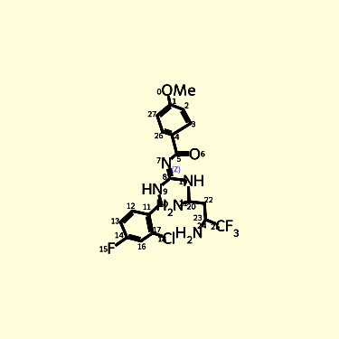 COc1ccc(C(=O)/N=C(/NCc2ccc(F)cc2Cl)NC(N)CC(N)C(F)(F)F)cc1